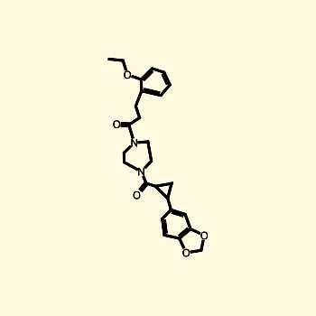 CCOc1ccccc1CCC(=O)N1CCN(C(=O)C2CC2c2ccc3c(c2)OCO3)CC1